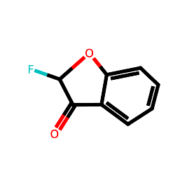 O=C1c2ccccc2OC1F